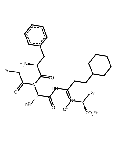 CCC[C@@H](C(=O)NC(CCC1CCCCC1)=[N+]([O-])[C@H](C(=O)OCC)C(C)C)N(C(=O)CC(C)C)C(=O)[C@@H](N)Cc1ccccc1